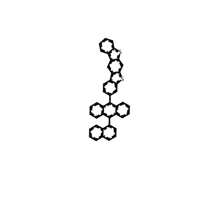 c1ccc2c(-c3c4ccccc4c(-c4ccc5c(c4)sc4cc6sc7ccccc7c6cc45)c4ccccc34)cccc2c1